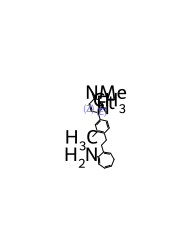 CC/N=C(\C=C/C(C)NC)c1ccc(CCC2=CCC=CC=C2N)c(C)c1